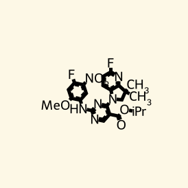 COc1cc(F)c([N+](=O)[O-])cc1Nc1ncc(C(=O)OC(C)C)c(N2CC(C)(C)c3nc(F)ccc32)n1